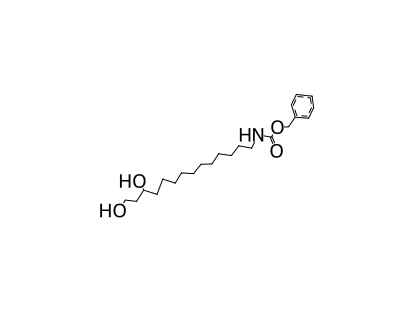 O=C(NCCCCCCCCCCCC(O)CCO)OCc1ccccc1